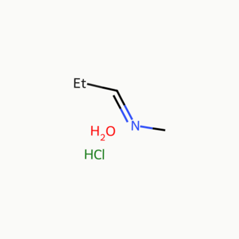 CCC=NC.Cl.O